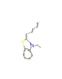 [CH]=CC=CC=C1Sc2ccccc2N1CC